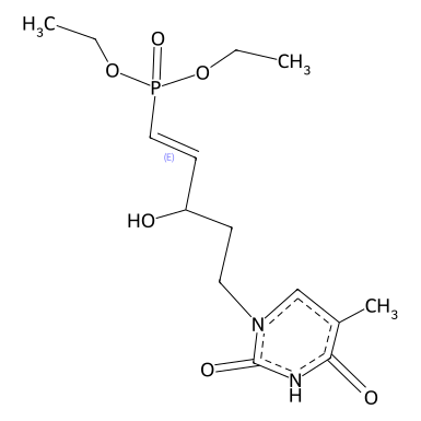 CCOP(=O)(/C=C/C(O)CCn1cc(C)c(=O)[nH]c1=O)OCC